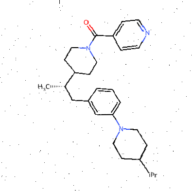 CC(C)C1CCN(c2cccc(C[C@H](C)C3CCN(C(=O)c4ccncc4)CC3)c2)CC1